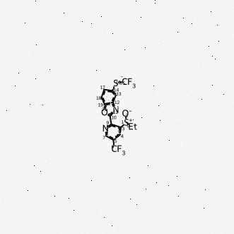 CC[S+]([O-])c1cc(C(F)(F)F)cnc1-c1nc2cc(SC(F)(F)F)ccc2o1